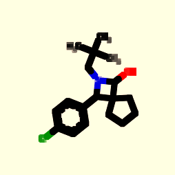 CC(C)(C)CN1C(O)C2(CCCC2)C1c1ccc(Cl)cc1